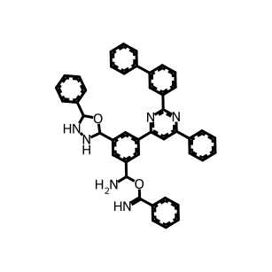 N=C(OC(N)c1cc(-c2cc(-c3ccccc3)nc(-c3cccc(-c4ccccc4)c3)n2)cc(C2NNC(c3ccccc3)O2)c1)c1ccccc1